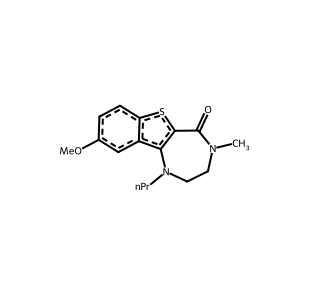 CCCN1CCN(C)C(=O)c2sc3ccc(OC)cc3c21